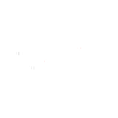 CC(C)=COc1ccc(Oc2ccccc2)cc1